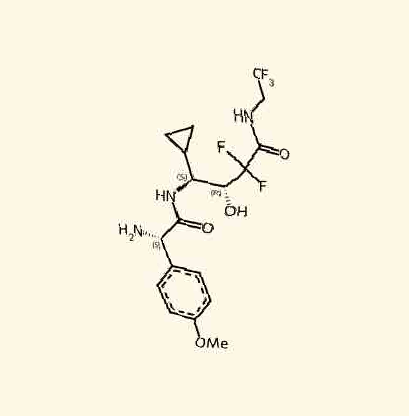 COc1ccc([C@H](N)C(=O)N[C@@H](C2CC2)[C@@H](O)C(F)(F)C(=O)NCC(F)(F)F)cc1